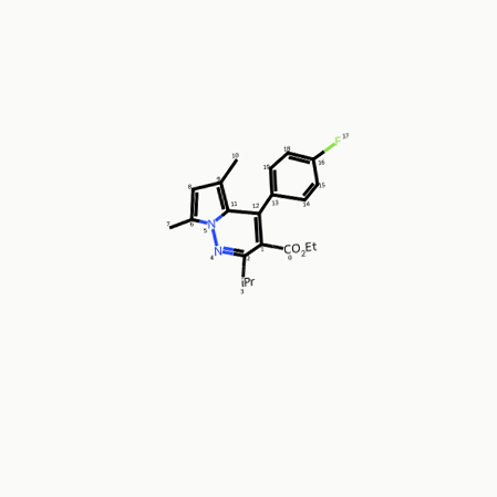 CCOC(=O)c1c(C(C)C)nn2c(C)cc(C)c2c1-c1ccc(F)cc1